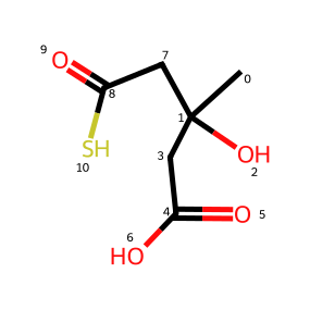 CC(O)(CC(=O)O)CC(=O)S